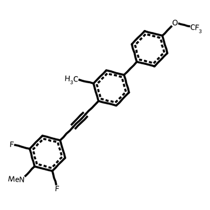 CNc1c(F)cc(C#Cc2ccc(-c3ccc(OC(F)(F)F)cc3)cc2C)cc1F